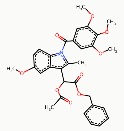 COc1ccc2c(c1)c(C(OC(C)=O)C(=O)OCc1ccccc1)c(C)n2C(=O)c1cc(OC)c(OC)c(OC)c1